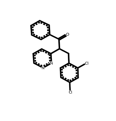 O=C(c1ccccc1)C(Cc1ccc(Cl)cc1Cl)c1cccnn1